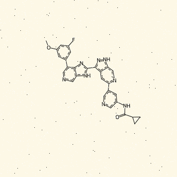 COc1cc(F)cc(-c2cncc3[nH]c(-c4n[nH]c5cnc(-c6cncc(NC(=O)C7CC7)c6)cc45)nc23)c1